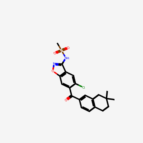 CC1(C)CCc2ccc(C(=O)c3cc4onc(NS(C)(=O)=O)c4cc3Cl)cc2C1